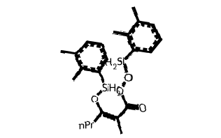 CCCC(O[SiH2]c1cccc(C)c1C)=C(C)C(=O)OO[SiH2]c1cccc(C)c1C